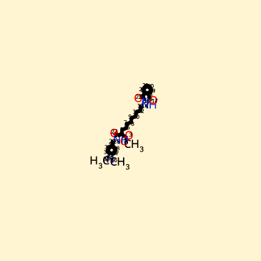 COC(=O)C(CCCCCCCCCNN1C(=O)c2ccccc2C1=O)C(=O)NCc1ccc(N(C)C)cc1